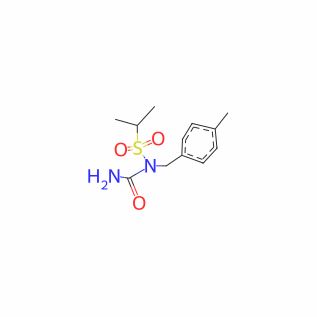 Cc1ccc(CN(C(N)=O)S(=O)(=O)C(C)C)cc1